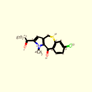 CCOC(=O)C(=O)c1cc2c(n1C)C(=O)c1ccc(Cl)cc1SC2